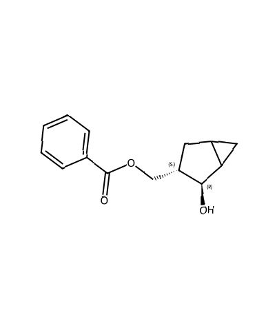 O=C(OC[C@@H]1CC2CC2[C@H]1O)c1ccccc1